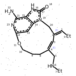 CC/C=C1\C=C(\CNCC)CCCOc2cc3c([nH]c(=O)n3C1)c(N)n2